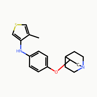 Cc1cscc1Nc1ccc(OC2CN3CCC2CC3)cc1